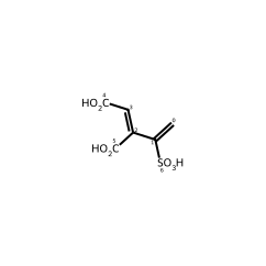 C=C(/C(=C/C(=O)O)C(=O)O)S(=O)(=O)O